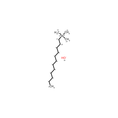 CCCCCCCCCCC[CH2][Sb+]([CH3])([CH3])[CH3].[OH-]